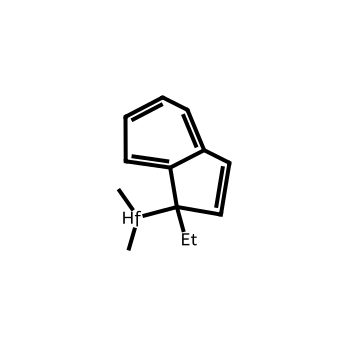 CC[C]1([Hf]([CH3])[CH3])C=Cc2ccccc21